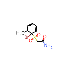 CC1C=CC=CC1(Br)S(=O)(=O)CC(N)=O